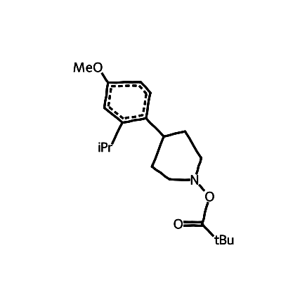 COc1ccc(C2CCN(OC(=O)C(C)(C)C)CC2)c(C(C)C)c1